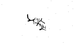 C=C(C)C(=O)OC(C)(NC(C)C)NC(C)C